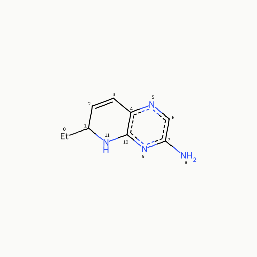 CCC1C=Cc2ncc(N)nc2N1